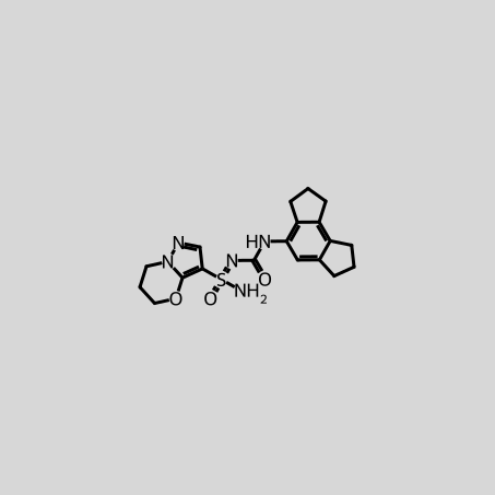 NS(=O)(=NC(=O)Nc1cc2c(c3c1CCC3)CCC2)c1cnn2c1OCCC2